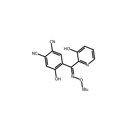 CC(C)(C)O/N=C(/c1cc(C#N)c(C#N)cc1O)c1ncccc1O